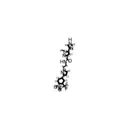 Cn1nc(C(=O)NCCn2ccc(-c3ccc([N+](=O)[O-])c(C(F)(F)F)c3)n2)cc1-c1c[nH]cn1